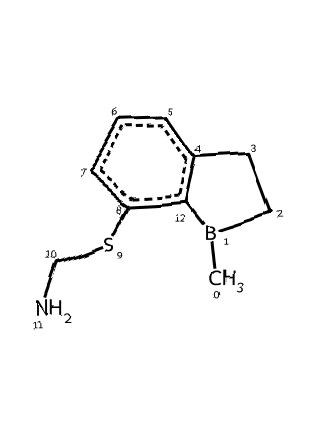 CB1CCc2cccc(SCN)c21